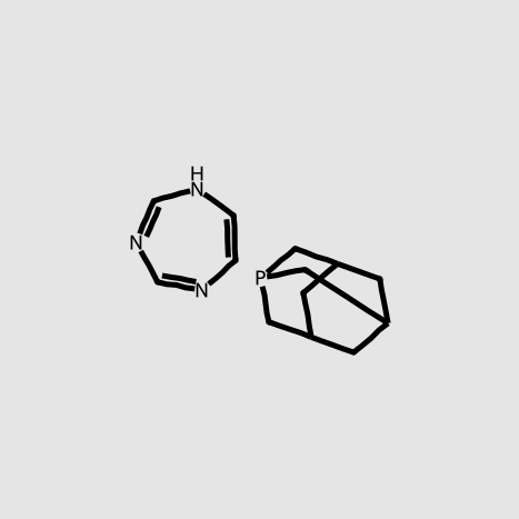 C1=CNC=NC=N1.C1C2CC3CC1CP(C2)C3